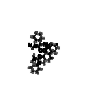 CN(C)C(=O)N(Cc1ccc([C@@H]2CCCC[C@H]2C(=O)N[C@H](C(N)=O)c2ccccc2)cc1)c1ccccc1